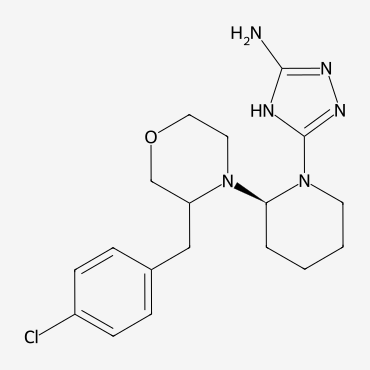 Nc1nnc(N2CCCC[C@H]2N2CCOCC2Cc2ccc(Cl)cc2)[nH]1